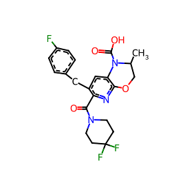 CC1COc2nc(C(=O)N3CCC(F)(F)CC3)c(Cc3ccc(F)cc3)cc2N1C(=O)O